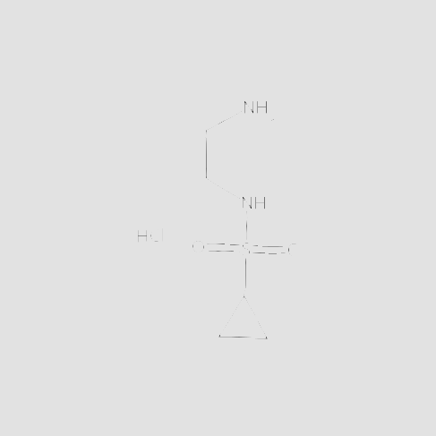 C[C@H](N)CNS(=O)(=O)C1CC1.Cl